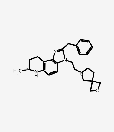 C[C@H]1CCc2c(ccc3c2nc(Cc2ccccc2)n3CCN2CCC3(COC3)C2)N1